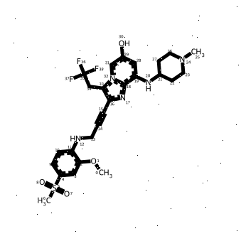 COc1cc(S(C)(=O)=O)ccc1NCC#Cc1nc2c(NC3CCN(C)CC3)cc(O)cn2c1CC(F)(F)F